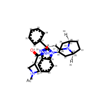 CC(=O)N1CC(C(=O)N[C@@H](CCN2[C@@H]3CC[C@H]2C[C@@H](n2cnc4ccccc42)C3)c2ccccc2)C1